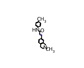 Cc1ccc(NC(=O)/C=C/c2ccc3c(c2)CN(C)CC3)cc1